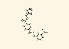 CN(C)c1cccc(OCCC2CCN(C(=O)OCc3cncs3)CC2)c1